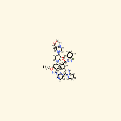 COc1cc(N2CCC(N3CCN4CCOC[C@@H]4C3)CC2)ccc1Nc1nccc(C2C(c3cccc(C(=O)Nc4c(F)cccc4F)c3)N=C3C=CC=CN32)n1